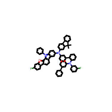 CC1(C)c2ccccc2-c2ccc(N(c3cccc(-c4ccccc4N(c4cccc(F)c4)c4cccc(-c5ccccc5)c4)c3)c3ccc4c(c3)c3ccc5c6ccc(F)cc6oc5c3n4-c3ccccc3)cc21